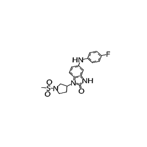 CS(=O)(=O)N1CCC(n2c(=O)[nH]c3cc(Nc4ccc(F)cc4)ccc32)C1